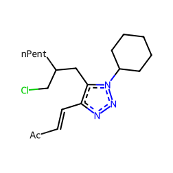 CCCCCC(CCl)Cc1c(/C=C/C(C)=O)nnn1C1CCCCC1